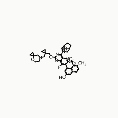 C#Cc1c(C)ccc2cc(O)cc(-c3c(C(F)(F)F)cc4c(N5CC6CCC(C5)N6)nc(OCC5(CN6CCOC7(CC7)C6)CC5)nc4c3F)c12